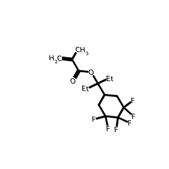 C=C(C)C(=O)OC(CC)(CC)C1CC(F)(F)C(F)(F)C(F)(F)C1